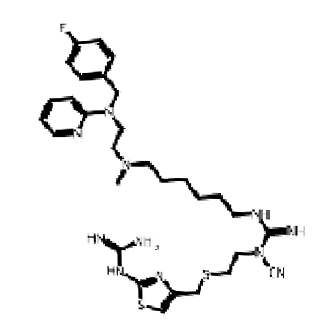 CN(CCCCCCNC(=N)N(C#N)CCSCc1csc(NC(=N)N)n1)CCN(Cc1ccc(F)cc1)c1ccccn1